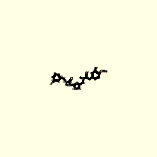 COc1ccc(CC(=O)N(C)Cc2csc(NC(=O)NCc3cccc(F)c3)n2)cc1C